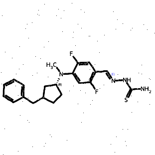 CN(c1cc(F)c(/C=N/NC(N)=S)cc1F)[C@@H]1CCC(Cc2ccccc2)C1